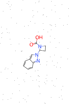 O=C(O)N1CCC1n1cc2ccccc2n1